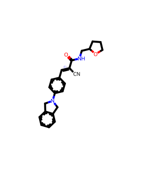 N#C/C(=C\c1ccc(N2Cc3ccccc3C2)cc1)C(=O)NCC1CCCO1